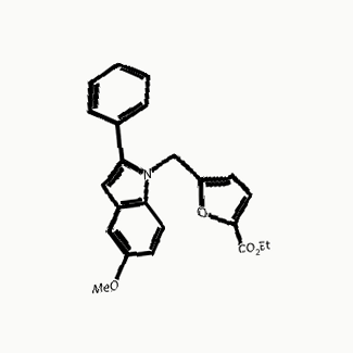 CCOC(=O)c1ccc(Cn2c(-c3ccccc3)cc3cc(OC)ccc32)o1